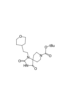 CC(C)(C)OC(=O)N1CCC2(CC1)C(=O)NC(=O)N2CCC1CCOCC1